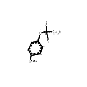 O=Cc1ccc(OC(F)(F)C(=O)O)cc1